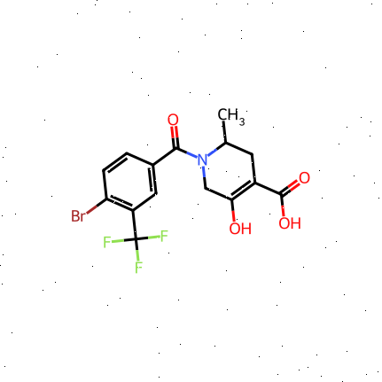 CC1CC(C(=O)O)=C(O)CN1C(=O)c1ccc(Br)c(C(F)(F)F)c1